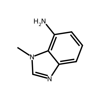 Cn1cnc2cccc(N)c21